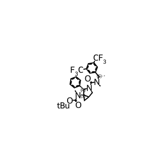 C[C@@H](c1cc(C(F)(F)F)cc(C(F)(F)F)c1)N(C)C(=O)N1CC2C[C@@]2(N(C)C(=O)OC(C)(C)C)[C@H]1c1ccccc1